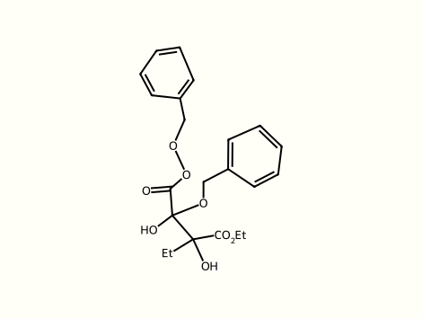 CCOC(=O)C(O)(CC)C(O)(OCc1ccccc1)C(=O)OOCc1ccccc1